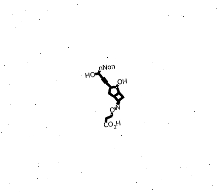 CCCCCCCCCC(O)C#CC1CC2C(=NOCCC(=O)O)CC2C1O